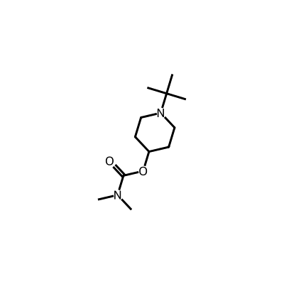 CN(C)C(=O)OC1CCN(C(C)(C)C)CC1